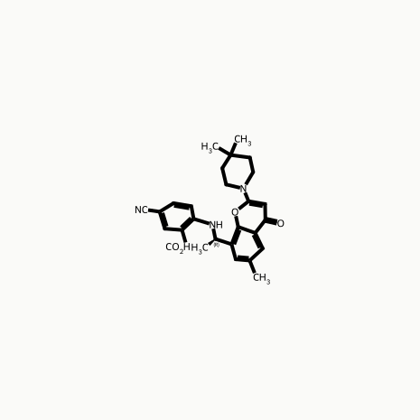 Cc1cc([C@@H](C)Nc2ccc(C#N)cc2C(=O)O)c2oc(N3CCC(C)(C)CC3)cc(=O)c2c1